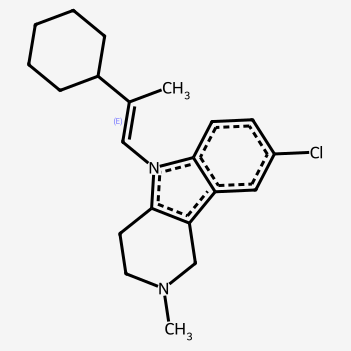 C/C(=C\n1c2c(c3cc(Cl)ccc31)CN(C)CC2)C1CCCCC1